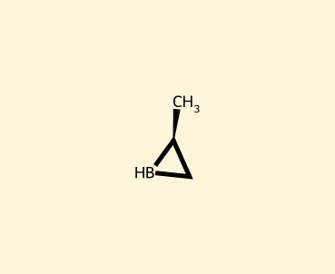 C[C@@H]1BC1